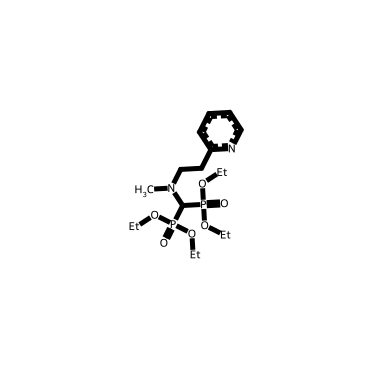 CCOP(=O)(OCC)C(N(C)CCc1ccccn1)P(=O)(OCC)OCC